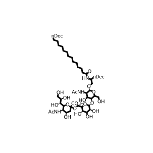 CCCCCCCCCCCCCCCCCCCCCCCC(=O)NC(CCCCCCCCCC)CO[C@@H]1OC(CO)[C@@H](O[C@@H]2OC(CO[C@]3(C(=O)O)C[C@@H](O)[C@@H](NC(C)=O)C([C@H](O)[C@H](O)CO)O3)[C@H](O)C(O)[C@@H]2O)C(O)C1NC(C)=O